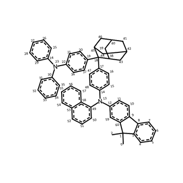 CC1(C)c2ccccc2-c2ccc(N(c3ccc(C4(c5ccc(N(c6ccccc6)c6ccccc6)cc5)C5CC6CC(C5)CC4C6)cc3)c3cccc4ccccc34)cc21